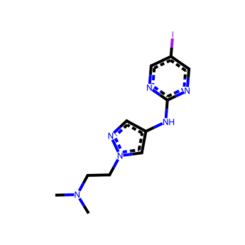 CN(C)CCn1cc(Nc2ncc(I)cn2)cn1